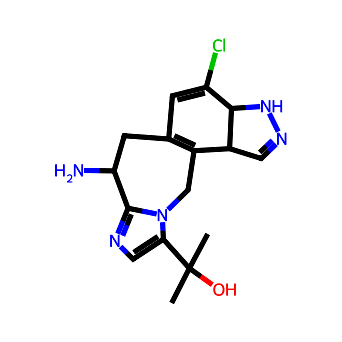 CC(C)(O)c1cnc2n1CC1=C(C=C(Cl)C3NN=CC13)CC2N